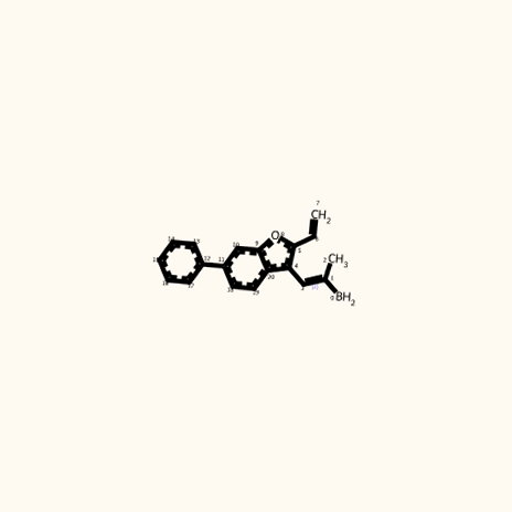 B/C(C)=C/c1c(C=C)oc2cc(-c3ccccc3)ccc12